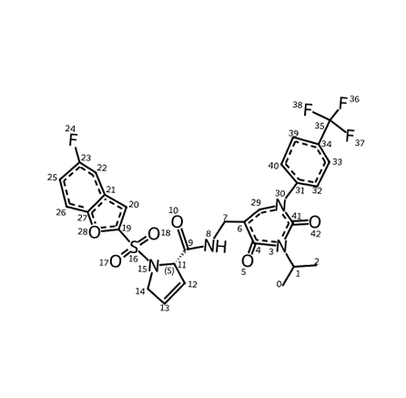 CC(C)n1c(=O)c(CNC(=O)[C@@H]2C=CCN2S(=O)(=O)c2cc3cc(F)ccc3o2)cn(-c2ccc(C(F)(F)F)cc2)c1=O